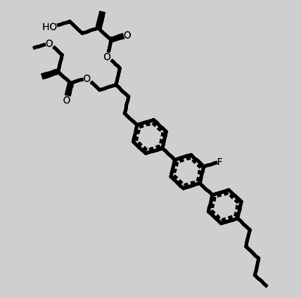 C=C(CCO)C(=O)OCC(CCc1ccc(-c2ccc(-c3ccc(CCCCC)cc3)c(F)c2)cc1)COC(=O)C(=C)COC